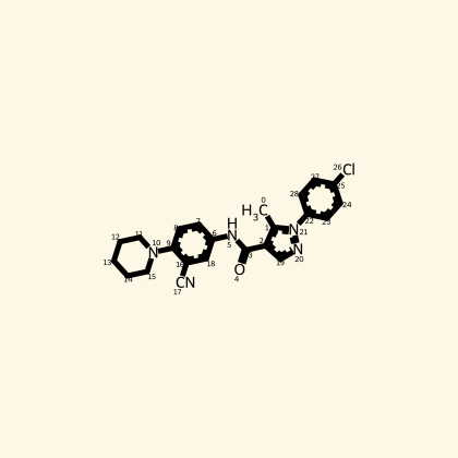 Cc1c(C(=O)Nc2ccc(N3CCCCC3)c(C#N)c2)cnn1-c1ccc(Cl)cc1